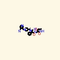 COc1cc(C)[nH]c(=O)c1CNC(=O)c1c(C)n([C@H](C)C2CCN(Cc3cnccc3C#N)CC2)c2ccccc12